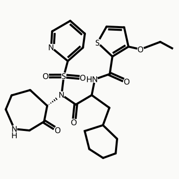 CCOc1ccsc1C(=O)NC(CC1CCCCC1)C(=O)N([C@H]1CCCNCC1=O)S(=O)(=O)c1ccccn1